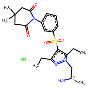 CCc1nn(C[C@H](C)N)c(CC)c1S(=O)(=O)c1cccc(N2C(=O)CC(C)(C)CC2=O)c1.Cl